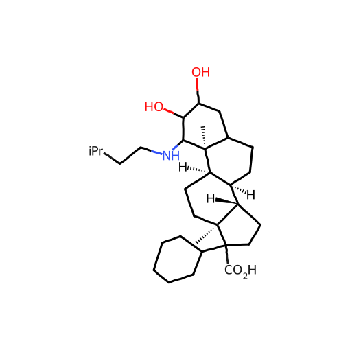 CC(C)CCNC1C(O)C(O)CC2CC[C@@H]3[C@@H](CC[C@@]4(C)[C@H]3CCC4(C(=O)O)C3CCCCC3)[C@]21C